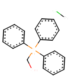 OC[PH](c1ccccc1)(c1ccccc1)c1ccccc1.[Cl][Pt]